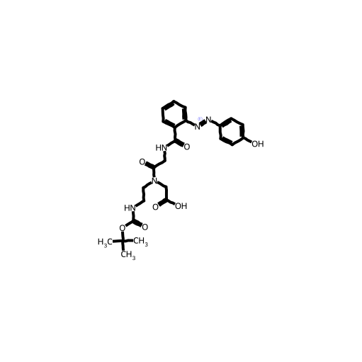 CC(C)(C)OC(=O)NCCN(CC(=O)O)C(=O)CNC(=O)c1ccccc1/N=N/c1ccc(O)cc1